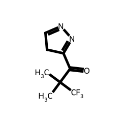 CC(C)(C(=O)C1=NN=CC1)C(F)(F)F